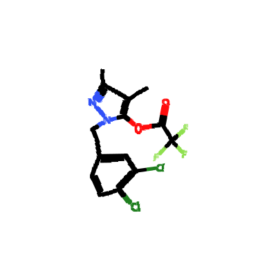 Cc1nn(Cc2ccc(Cl)c(Cl)c2)c(OC(=O)C(F)(F)F)c1C